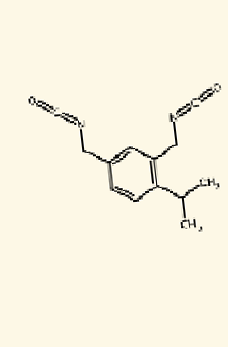 CC(C)c1ccc(CN=C=O)cc1CN=C=O